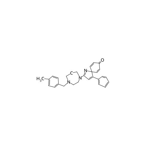 Cc1ccc(CN2CCCN(C3=NC4(C=CC(=O)C=C4)C(c4ccccc4)=C3)CC2)cc1